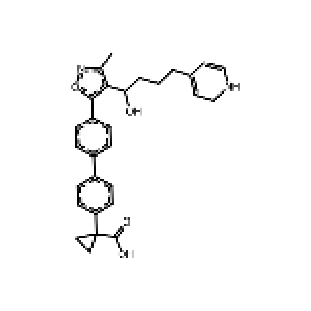 Cc1noc(-c2ccc(-c3ccc(C4(C(=O)O)CC4)cc3)cc2)c1C(O)CCCC1=CCNC=C1